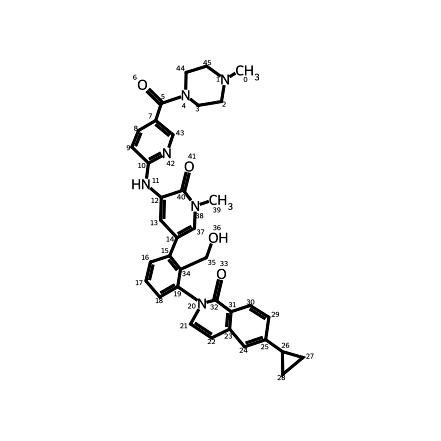 CN1CCN(C(=O)c2ccc(Nc3cc(-c4cccc(-n5ccc6cc(C7CC7)ccc6c5=O)c4CO)cn(C)c3=O)nc2)CC1